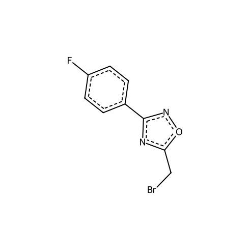 Fc1ccc(-c2noc(CBr)n2)cc1